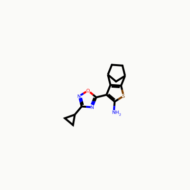 Nc1sc2c(c1-c1nc(C3CC3)no1)C1CCC2C1